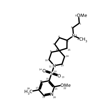 COCCN(C)C1CCC2(CCN(S(=O)(=O)c3cc(C)cnc3OC)CC2)C1